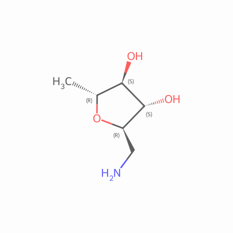 C[C@H]1O[C@H](CN)[C@@H](O)[C@@H]1O